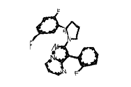 Fc1ccc(F)c([C@H]2CCCN2c2nn3cccnc3c2-c2ccccc2F)c1